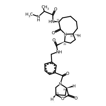 CNC(C)C(=O)N[C@H]1CCCC[C@H]2CC[C@@H](C(=O)NCc3cccc(C(=O)N4C[C@@H]5C[C@H]4C(=O)O5)c3)N2C1=O